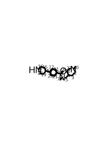 CN1CCC(CN(C)C(=O)c2ccc(C3CCNCC3)cc2)CC1